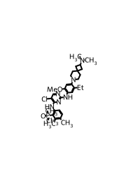 CCc1cc(Nc2ncc(Cl)c(Nc3ccc(C)c(C)c3P(C)(C)=O)n2)c(OC)cc1N1CCC2(CC1)CC(N(C)C)C2